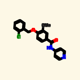 COc1cc(C(=O)Nc2ccncc2)ccc1OCc1ccccc1Cl